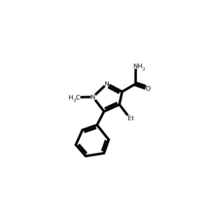 CCc1c(C(N)=O)nn(C)c1-c1ccccc1